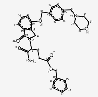 NC(=O)C(CCC(=O)OCc1ccccc1)N1Cc2c(OCc3ccc(CN4CCOCC4)cc3)cccc2C1=O